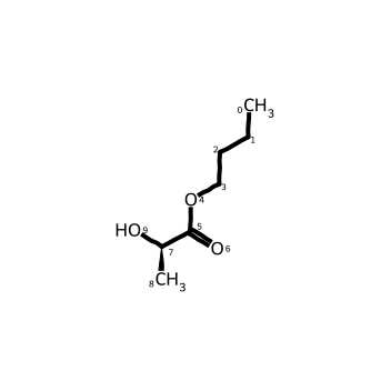 CCCCOC(=O)[C@@H](C)O